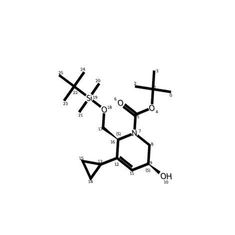 CC(C)(C)OC(=O)N1C[C@@H](O)C=C(C2CC2)[C@H]1CO[Si](C)(C)C(C)(C)C